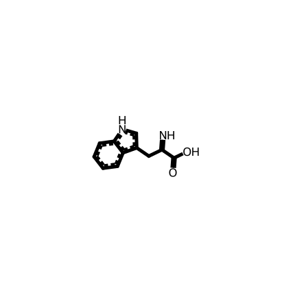 N=C(Cc1c[nH]c2ccccc12)C(=O)O